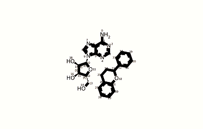 Nc1ncnc2c1ncn2[C@@H]1O[C@H](CO)[C@@H](O)[C@H]1O.c1ccc(C2CCc3ccccc3O2)cc1